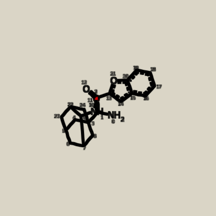 NC(=O)C12CC3CC(C1)C(NC(=O)c1cc4ccccc4o1)C(C3)C2